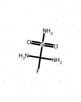 NC(N)(F)S(N)(=O)=O